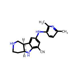 Cc1ccc(Nc2cc(C#N)c3c(c2)[C@@H]2CNCC[C@@H]2N3)c(C)n1